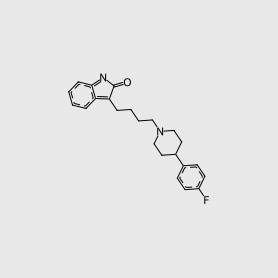 O=C1N=c2ccccc2=C1CCCCN1CCC(c2ccc(F)cc2)CC1